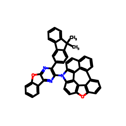 CC1(C)c2ccccc2-c2cc(-c3nc4oc5ccccc5c4nc3-n3c4ccc5cccc6c5c4c4c5c(ccc43)oc3cccc-6c35)ccc21